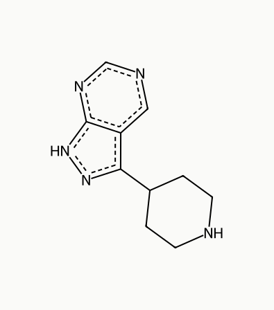 c1ncc2c(C3CCNCC3)n[nH]c2n1